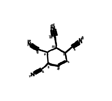 N#CC1C=CC(C#N)C(C#N)C1C#N